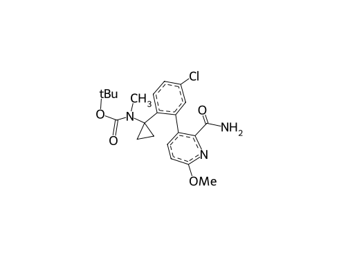 COc1ccc(-c2cc(Cl)ccc2C2(N(C)C(=O)OC(C)(C)C)CC2)c(C(N)=O)n1